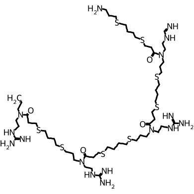 C=CCN(CCNC(=N)N)C(=O)CCSCCCCSCCCN(CCNC(=N)N)C(=O)CCSCCCCSCCCN(CCNC(=N)N)C(=O)CCSCCCCSCCCN(CCNC=N)C(=O)CCSCCCCSCCCN